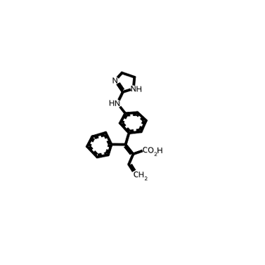 C=CC(C(=O)O)=C(c1ccccc1)c1cccc(NC2=NCCN2)c1